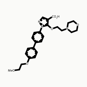 COCCOc1ccc(-c2ccc(-n3ncc(C(=O)O)c3OCCN3CCOCC3)cc2)cc1